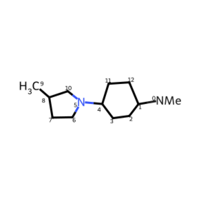 CNC1CCC(N2CCC(C)C2)CC1